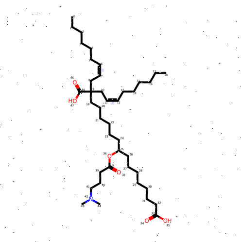 CCCCCC/C=C\CC(C/C=C\CCCCCC)(CCCCCCC(CCCCCCCC(=O)O)OC(=O)CCCN(C)C)C(=O)O